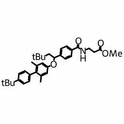 COC(=O)CCNC(=O)c1ccc(C(CC(C)(C)C)Oc2cc(C)c(-c3ccc(C(C)(C)C)cc3)c(C)c2)cc1